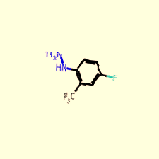 NNc1ccc(F)cc1C(F)(F)F